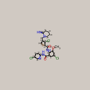 COc1cc(Cl)cc(C(=O)Nc2ccc(Cl)cn2)c1NC(=O)c1scc(CN2CCCCC2=N)c1Cl